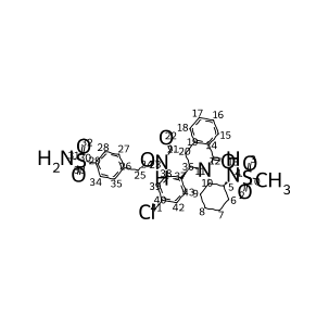 CS(=O)(=O)N[C@H]1CCCC[C@@H]1N1C(=O)c2ccccc2[C@@H](C(=O)NOCc2ccc(S(N)(=O)=O)cc2)[C@@H]1c1ccc(Cl)cc1